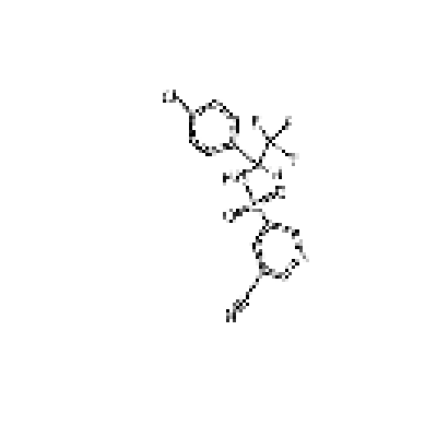 [2H]C(NS(=O)(=O)c1cncc(C#N)c1)(c1ccc(Cl)cc1)C(F)(F)F